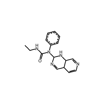 CCNC(=O)N(c1ccccc1)C1N=CC2C=CN=CC2N1